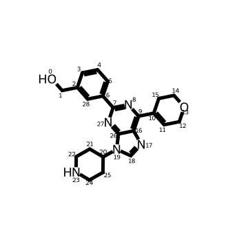 OCc1cccc(-c2nc(C3=CCOCC3)c3ncn(C4CCNCC4)c3n2)c1